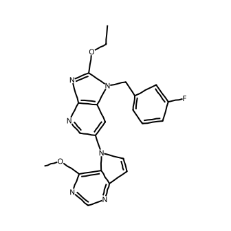 CCOc1nc2ncc(-n3ccc4ncnc(OC)c43)cc2n1Cc1cccc(F)c1